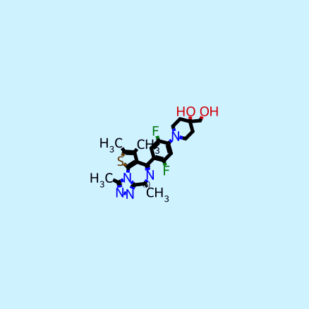 Cc1sc2c(c1C)C(c1cc(F)c(N3CCC(O)(CO)CC3)cc1F)=N[C@@H](C)c1nnc(C)n1-2